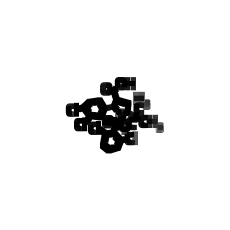 CC(C)(C)[C@@H]1C=C(C(=O)O)[C@H](c2ccc(Cl)c(Cl)c2)N1S(=O)(=O)c1c(Cl)cccc1Cl